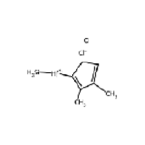 CC1=CC[C]([Hf+2][SiH3])=C1C.[Cl-].[Cl-]